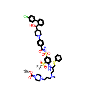 CN(CCCN1CCN(C(=O)OC(C)(C)C)CC1)CCC(CSc1ccccc1)Nc1ccc(S(=O)(=O)NC(=O)c2ccc(N3CCC(C(O)c4ccccc4-c4ccc(Cl)cc4)CC3)cc2)cc1S(=O)(=O)C(F)(F)F